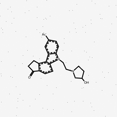 CC(=O)c1ccc2c(c1)c1c3c(ccc1n2CCN1CCC(O)C1)C(=O)CC3